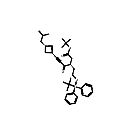 CC(C)C[C@H]1C[C@@H](C#CC(=O)[C@H](CCO[Si](c2ccccc2)(c2ccccc2)C(C)(C)C)CC(=O)OC(C)(C)C)C1